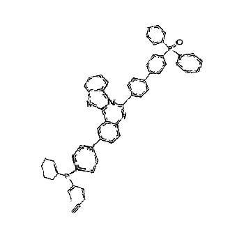 C#C/C=C\C(=C/C)P(C1=CCCCC1)c1ccc(-c2ccc3nc(-c4ccc(-c5ccc(P(=O)(c6ccccc6)c6ccccc6)cc5)cc4)n4c5ccccc5nc4c3c2)cc1